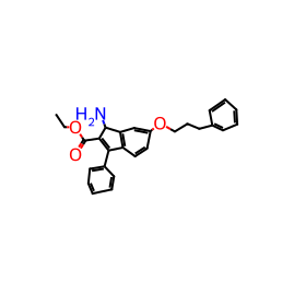 CCOC(=O)C1=C(c2ccccc2)c2ccc(OCCCc3ccccc3)cc2C1N